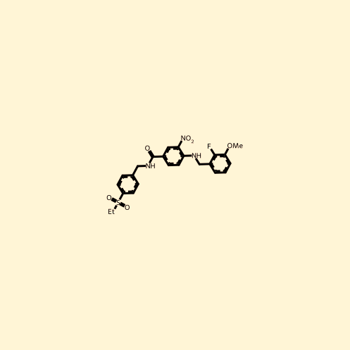 CCS(=O)(=O)c1ccc(CNC(=O)c2ccc(NCc3cccc(OC)c3F)c([N+](=O)[O-])c2)cc1